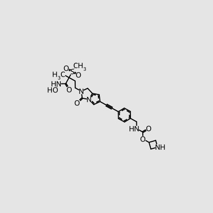 CC(CCN1Cc2cc(C#Cc3ccc(CNC(=O)OC4CNC4)cc3)cn2C1=O)(C(=O)NO)S(C)(=O)=O